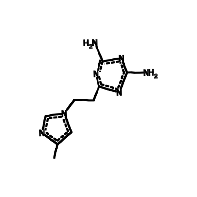 Cc1cn(CCc2nc(N)nc(N)n2)cn1